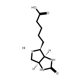 I.O=C(O)CCCC[C@@H]1SC[C@@H]2NC(=O)N[C@@H]21